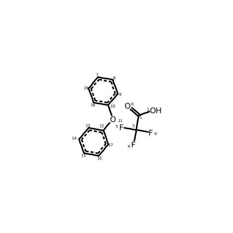 O=C(O)C(F)(F)F.c1ccc(Oc2ccccc2)cc1